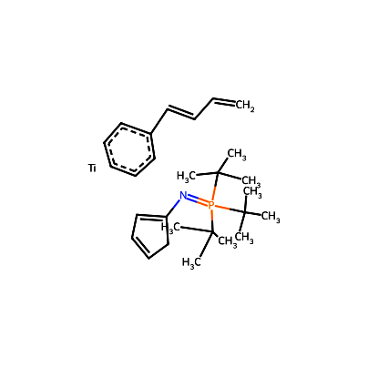 C=CC=Cc1ccccc1.CC(C)(C)P(=NC1=CC=CC1)(C(C)(C)C)C(C)(C)C.[Ti]